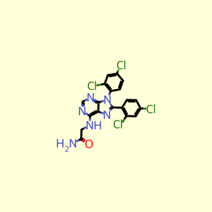 NC(=O)CNc1ncnc2c1nc(-c1ccc(Cl)cc1Cl)n2-c1ccc(Cl)cc1Cl